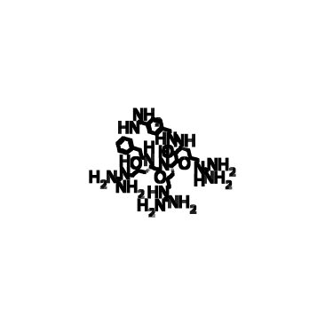 N=C(N)c1ccc(CNN[C@@H](CCCNC(N)N)C(=O)C(=O)[C@H](CCCNC(N)N)NC(=O)[C@H](CCCNC(N)N)NC(=O)Cc2ccccc2)cc1